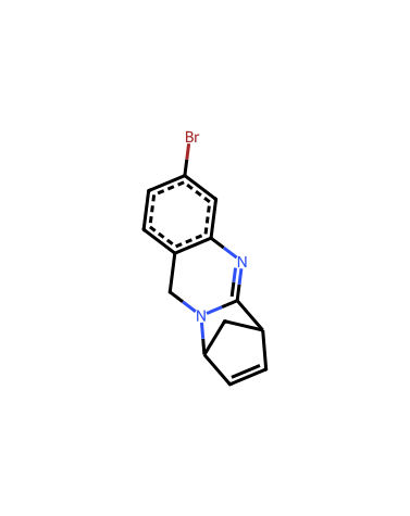 Brc1ccc2c(c1)N=C1C3C=CC(C3)N1C2